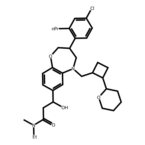 CCCc1cc(Cl)ccc1C1COc2ccc(C(O)CC(=O)N(C)CC)cc2N(CC2CCC2C2CCCCO2)C1